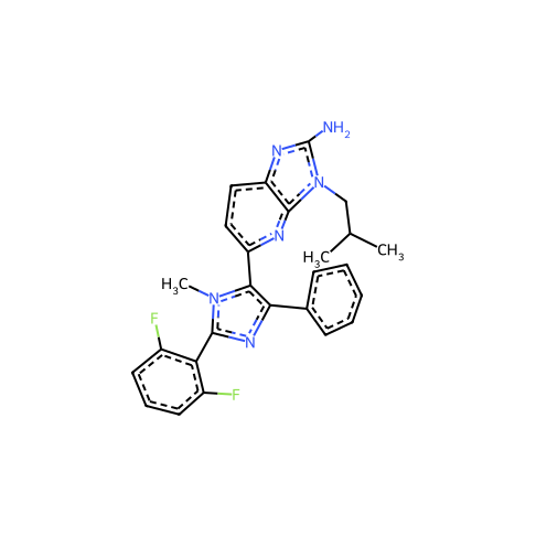 CC(C)Cn1c(N)nc2ccc(-c3c(-c4ccccc4)nc(-c4c(F)cccc4F)n3C)nc21